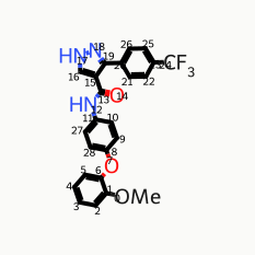 COc1ccccc1Oc1ccc(NC(=O)c2c[nH]nc2-c2ccc(C(F)(F)F)cc2)cc1